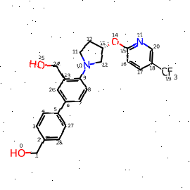 OCc1ccc(-c2ccc(N3CC[C@H](Oc4ccc(C(F)(F)F)cn4)C3)c(CO)c2)cc1